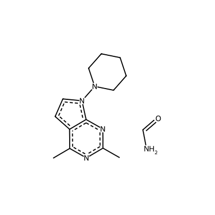 Cc1nc(C)c2ccn(N3CCCCC3)c2n1.NC=O